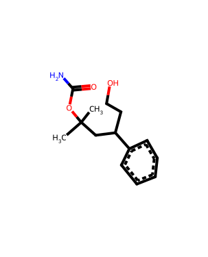 CC(C)(CC(CCO)c1ccccc1)OC(N)=O